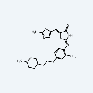 Cc1cc(OCCN2CCN(C)CC2)ccc1/N=C1/NC(=O)/C(=C/c2cnc(N)s2)S1